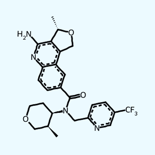 C[C@@H]1OCc2c1c(N)nc1ccc(C(=O)N(Cc3ccc(C(F)(F)F)cn3)[C@@H]3CCOC[C@@H]3C)cc21